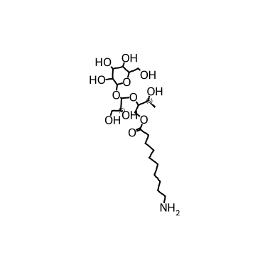 C[C@H](O)C(COC(=O)CCCCCCCCCN)OC(OC1OC(CO)C(O)C(O)C1O)[C@@H](O)CO